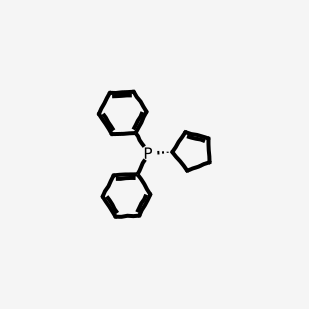 C1=C[C@@H](P(c2ccccc2)c2ccccc2)CC1